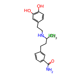 CC(CCc1cccc(C(N)=O)c1)NCCc1ccc(O)c(O)c1.Cl